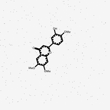 COc1ccc(-c2cc(=O)c3cc(OC)c(OC)cc3o2)cc1O